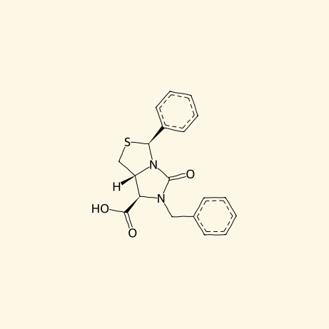 O=C(O)[C@H]1[C@@H]2CS[C@@H](c3ccccc3)N2C(=O)N1Cc1ccccc1